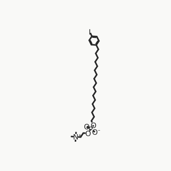 C[N+](C)(C)CCOP(=O)([O-])OCCCCCCCCCCCCCCCCCCc1ccc(I)cc1